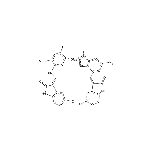 COc1cc(NC=C2C(=O)Nc3ccc(Cl)cc32)c(OC)cc1Cl.Nc1cc(C=C2C(=O)Nc3ccc(Cl)cc32)c2cn[nH]c2c1